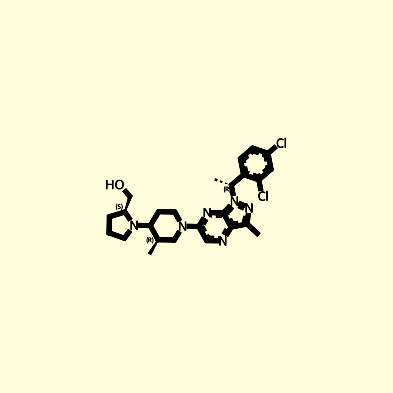 Cc1nn([C@H](C)c2ccc(Cl)cc2Cl)c2nc(N3CCC(N4CCC[C@H]4CO)[C@H](C)C3)cnc12